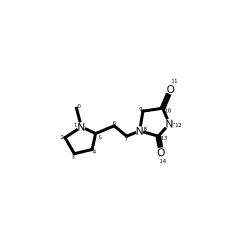 CN1CCCC1CCN1CC(=O)[N]C1=O